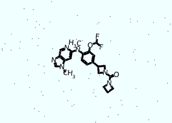 CN(c1cc2c(cn1)ncn2C)c1ccc(C2CN(C(=O)N3CCC3)C2)cc1OC(F)F